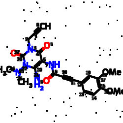 C#CCn1c(=O)c(NC(=O)C#Cc2ccc(OC)c(OC)c2)c(N)n(N(C)C)c1=O